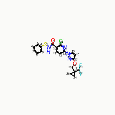 O=C(NSc1ccccc1)c1ccc(-n2ccc(OCC3(C(F)F)CC3)n2)nc1Cl